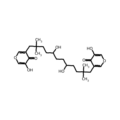 CC(C)(CCC(O)CCC(O)CCC(C)(C)Cc1cocc(O)c1=O)Cc1cocc(O)c1=O